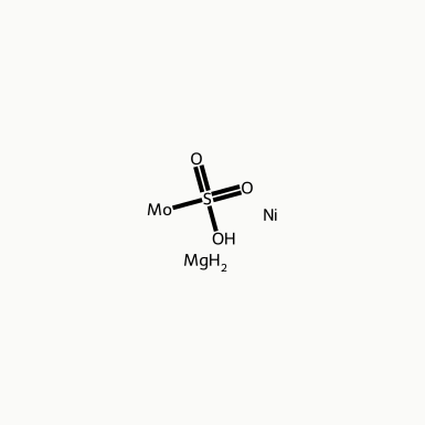 O=[S](=O)(O)[Mo].[MgH2].[Ni]